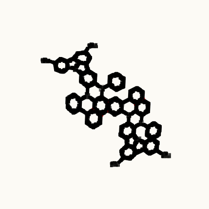 CC(C)(C)c1ccc2c(c1)c1cc(C(C)(C)C)cc3c4cc5c(cc4n2c13)B(c1ccccc1-c1cccc(-c2ccc(-c3ccccc3)c(B3c4ccccc4N(c4ccccc4)c4c3ccc3c6cc(C(C)(C)C)cc7c8cc(C(C)(C)C)ccc8n(c43)c76)c2)c1)c1ccccc1N5c1ccccc1